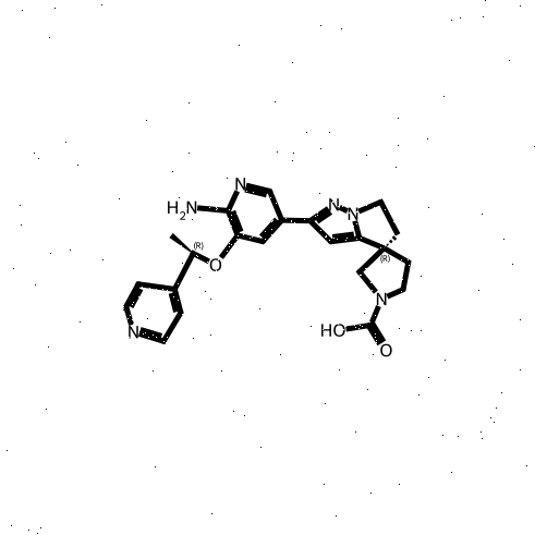 C[C@@H](Oc1cc(-c2cc3n(n2)CC[C@@]32CCN(C(=O)O)C2)cnc1N)c1ccncc1